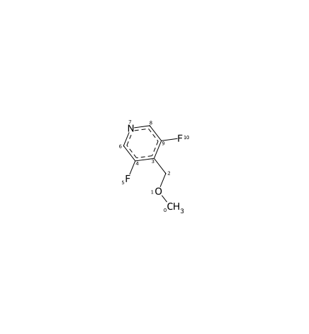 COCc1c(F)cncc1F